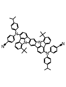 CC(C)c1ccc(N(c2ccc(C#N)cc2)c2ccc3c4cc5c(cc4n4c6c(C(C)(C)C)cccc6c2c34)c2ccc(N(c3ccc(C#N)cc3)c3ccc(C(C)C)cc3)c3c4cccc(C(C)(C)C)c4n5c23)cc1